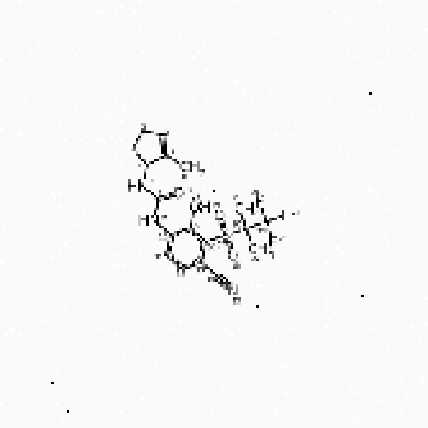 CC1=CCCC1NC(=O)Nc1ccc(C#N)c(S(=O)(=O)C(C)(C)C(F)(F)F)c1O